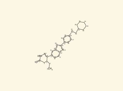 CCC1CC(=O)NN=C1c1ccc2nc(-c3ccc(OCC4CCCCC4)cc3)oc2c1